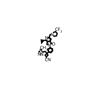 Cn1cnnc1CC1(c2cccc(N3Cc4c(cc(CN5CCC[C@@H](C(F)(F)F)C5)nc4C4CC4)C3=O)c2)CC(C#N)C1